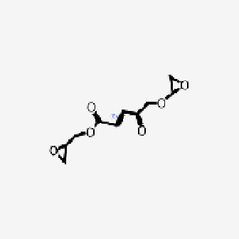 O=C(/C=C/C(=O)OCC1CO1)COC1CO1